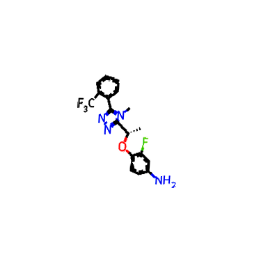 C[C@H](Oc1ccc(N)cc1F)c1nnc(-c2ccccc2C(F)(F)F)n1C